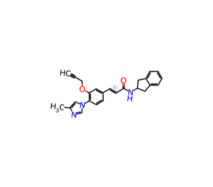 C#CCOc1cc(/C=C/C(=O)NC2Cc3ccccc3C2)ccc1-n1cnc(C)c1